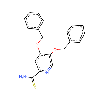 NC(=S)c1cc(OCc2ccccc2)c(OCc2ccccc2)cn1